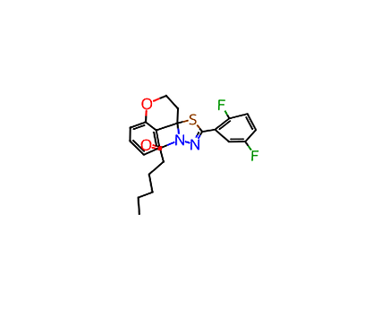 CCCCCC(=O)N1N=C(c2cc(F)ccc2F)SC12CCOc1ccccc12